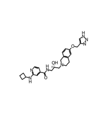 O=C(NC[C@H](O)CN1CCc2cc(OCc3c[nH]nn3)ccc2C1)c1ccnc(NC2CCC2)c1